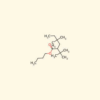 CCCCOC(=O)C(CC(C)(C)CC)C(C)(C)C